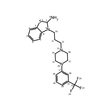 NC1Sc2ccccc2N1CCCN1CCN(c2cccc(C(F)(F)F)c2)CC1